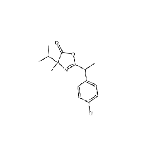 CC(C1=NC(C)(C(C)C)C(=O)O1)c1ccc(Cl)cc1